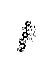 Cc1c(-c2ncc3nc(C(F)(F)F)ccc3n2)ccc(N(C)C(=O)c2ccnn2C)c1C